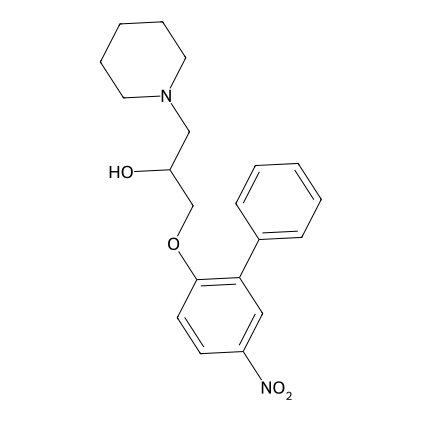 O=[N+]([O-])c1ccc(OCC(O)CN2CCCCC2)c(-c2ccccc2)c1